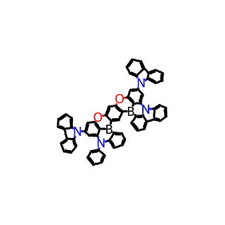 c1ccc(N2c3ccccc3B3c4cc5c(cc4Oc4cc(-n6c7ccccc7c7ccccc76)cc2c43)Oc2cc(-n3c4ccccc4c4ccccc43)cc3c2B5c2cccc4c5ccccc5n-3c24)cc1